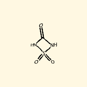 O=C1NS(=O)(=O)N1